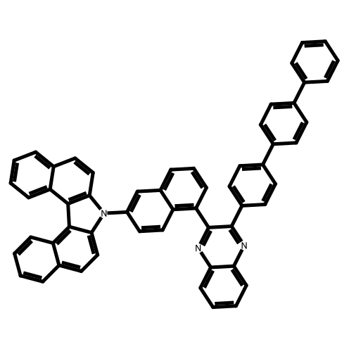 c1ccc(-c2ccc(-c3ccc(-c4nc5ccccc5nc4-c4cccc5cc(-n6c7ccc8ccccc8c7c7c8ccccc8ccc76)ccc45)cc3)cc2)cc1